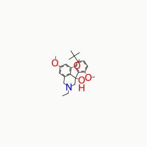 CCN1Cc2cc(OC)cc(OC)c2C(O)(c2cc(C(C)(C)C)ccc2OC)C1